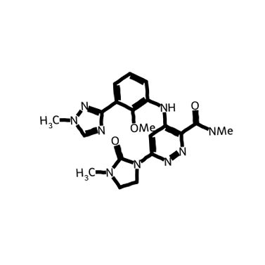 CNC(=O)c1nnc(N2CCN(C)C2=O)cc1Nc1cccc(-c2ncn(C)n2)c1OC